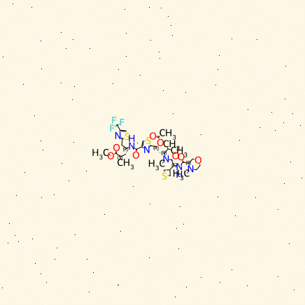 COC(=O)[C@@H](C)C[C@H](Cc1nc(C(F)(F)F)cs1)NC(=O)c1csc([C@@H](C[C@H](C(C)C)N(C)C(=O)[C@@H](NC(=O)[C@H]2COCCN2C)C2CSC2)OC(C)=O)n1